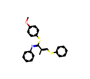 COc1ccc(SC(=Nc2ccccc2)C(C)=CSc2ccccc2)cc1